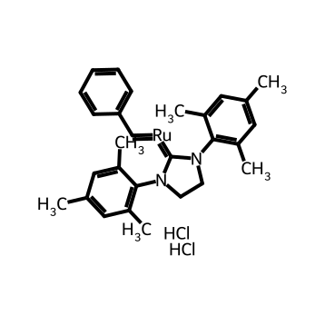 Cc1cc(C)c(N2CCN(c3c(C)cc(C)cc3C)[C]2=[Ru]=[CH]c2ccccc2)c(C)c1.Cl.Cl